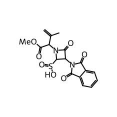 C=C(C)C(C(=O)OC)N1C(=O)C(N2C(=O)c3ccccc3C2=O)C1S(=O)O